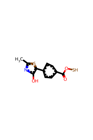 Cc1nc(O)c(-c2ccc(C(=O)OS)cc2)s1